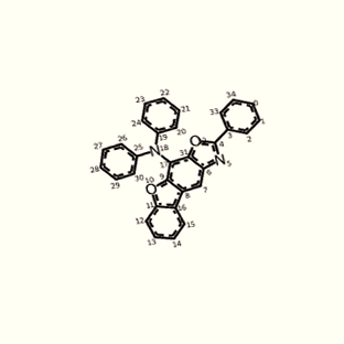 c1ccc(-c2nc3cc4c(oc5ccccc54)c(N(c4ccccc4)c4ccccc4)c3o2)cc1